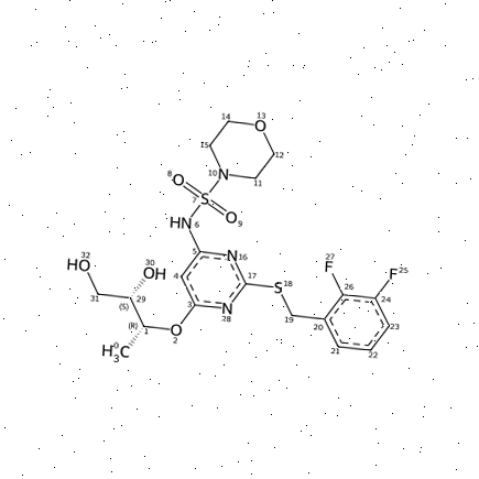 C[C@@H](Oc1cc(NS(=O)(=O)N2CCOCC2)nc(SCc2cccc(F)c2F)n1)[C@@H](O)CO